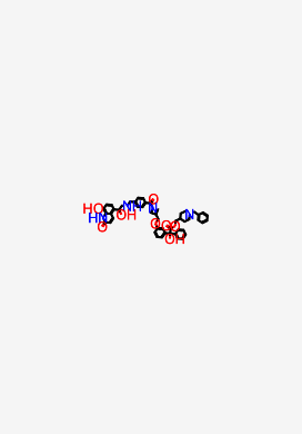 O=C(c1ccc(CNCC(O)c2ccc(O)c3[nH]c(=O)ccc23)cc1)N1CC(COc2cccc(C(O)(C(=O)OCC3CCN(Cc4ccccc4)CC3)c3ccccc3)c2)C1